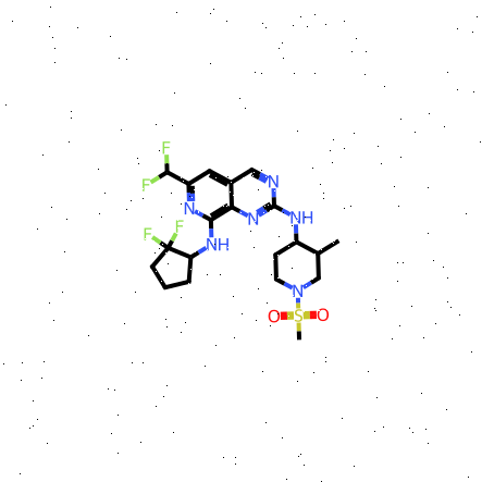 CC1CN(S(C)(=O)=O)CCC1Nc1ncc2cc(C(F)F)nc(NC3CCCC3(F)F)c2n1